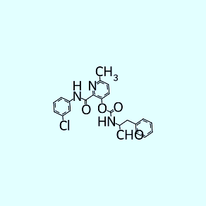 Cc1ccc(OC(=O)NC(C=O)Cc2ccccc2)c(C(=O)Nc2cccc(Cl)c2)n1